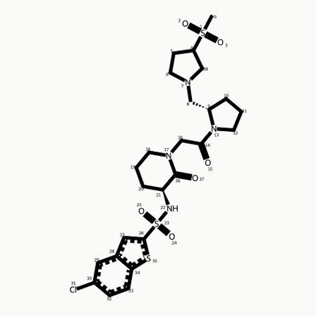 CS(=O)(=O)C1CCN(C[C@@H]2CCCN2C(=O)CN2CCC[C@H](NS(=O)(=O)c3cc4cc(Cl)ccc4s3)C2=O)C1